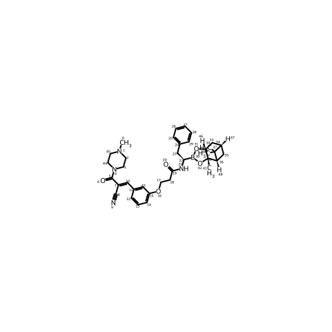 CN1CCN(C(=O)/C(C#N)=C/c2cccc(OCCC(=O)N[C@@H](Cc3ccccc3)B3O[C@@H]4C[C@@H]5C[C@@H](C5(C)C)[C@]4(C)O3)c2)CC1